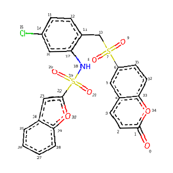 O=c1ccc2cc(S(=O)(=O)Cc3ccc(Cl)cc3NS(=O)(=O)c3cc4ccccc4o3)ccc2o1